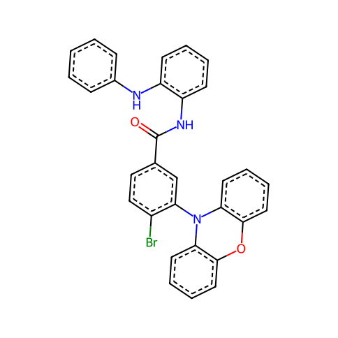 O=C(Nc1ccccc1Nc1ccccc1)c1ccc(Br)c(N2c3ccccc3Oc3ccccc32)c1